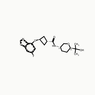 CC(C)(O)[C@H]1CC[C@H](NC(=O)[C@H]2C[C@H](Oc3cc(F)cc4scnc34)C2)CO1